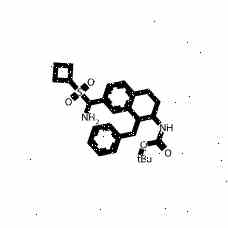 CC(C)(C)OC(=O)NC1CCc2ccc(C(N)S(=O)(=O)C3CCC3)cc2C1Cc1ccccc1